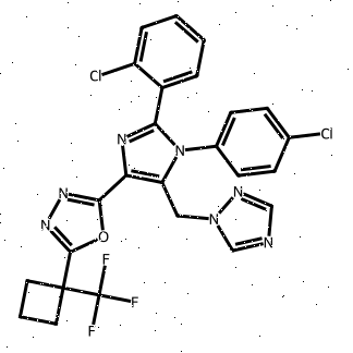 FC(F)(F)C1(c2nnc(-c3nc(-c4ccccc4Cl)n(-c4ccc(Cl)cc4)c3Cn3cncn3)o2)CCC1